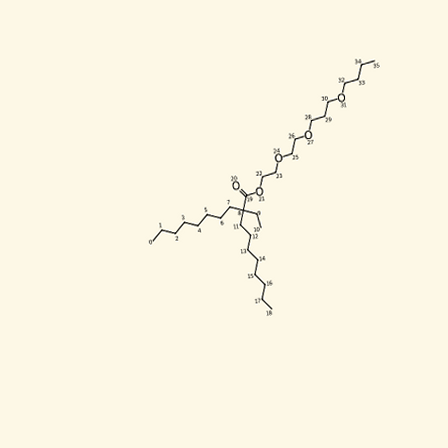 CCCCCCCCC(CC)(CCCCCCCC)C(=O)OCCOCCOCCCOCCCC